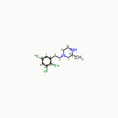 C[C@H]1CN(CCc2cc(F)cc(F)c2F)CCN1